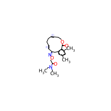 CCN(CC)C(=O)CO/N=C1/C=C/CC/C=C/CCOC(=O)c2c(C)cc(C)cc2C1